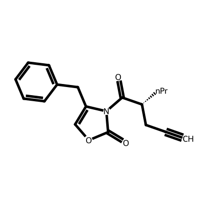 C#CC[C@@H](CCC)C(=O)n1c(Cc2ccccc2)coc1=O